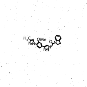 COc1cc(-c2cn(CC(=O)N3CCc4ccccc43)nn2)ccc1-n1cnc(C)c1